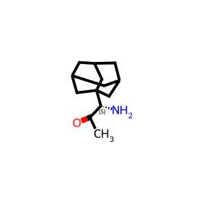 CC(=O)[C@@H](N)C12CC3CC(CC(C3)C1)C2